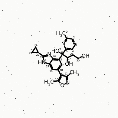 Cc1cccc(C(O)(c2cc(-c3c(C)noc3C)cc3[nH]c(C4CC4)nc23)C(O)CCO)n1